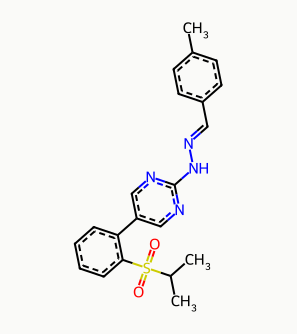 Cc1ccc(C=NNc2ncc(-c3ccccc3S(=O)(=O)C(C)C)cn2)cc1